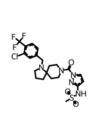 CS(=O)(=O)Nc1ccn(C(=O)N2CCC3(CCCN3Cc3ccc(C(F)(F)F)c(Cl)c3)CC2)n1